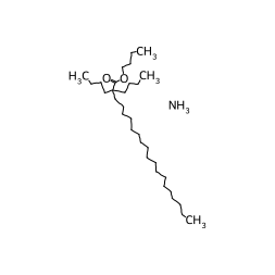 CCCCCCCCCCCCCCCCCCC(CCCC)(CCCC)C(=O)OCCCC.N